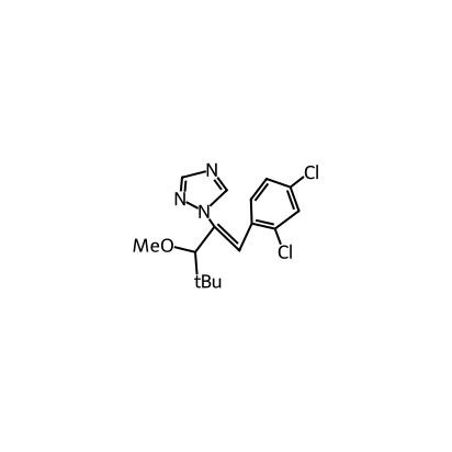 COC(C(=Cc1ccc(Cl)cc1Cl)n1cncn1)C(C)(C)C